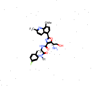 CCNC(=O)[C@H](Cc1ccc(F)cc1)NC(=O)c1nc(-c2ccc(OC)c3nc(C(F)(F)F)ccc23)oc1[C@@H](N)CO